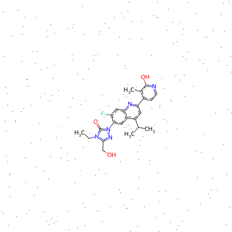 CCn1c(CO)nn(-c2cc3c(C(C)C)cc(-c4ccnc(O)c4C)nc3cc2F)c1=O